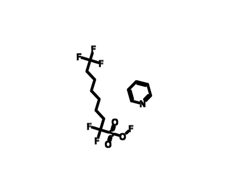 O=S(=O)(OF)C(F)(F)CCCCCCC(F)(F)F.c1ccncc1